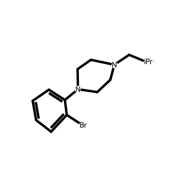 C[C](C)CN1CCN(c2ccccc2Br)CC1